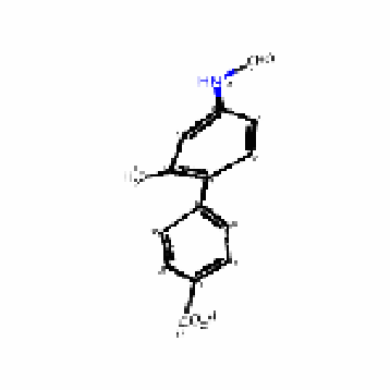 Cc1cc(NC=O)ccc1-c1ccc(C(=O)O)cc1